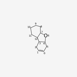 C1=CCC2C(C1)OC1CCCCC12